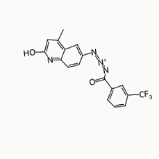 Cc1cc(O)nc2ccc(N=[N+]=NC(=O)c3cccc(C(F)(F)F)c3)cc12